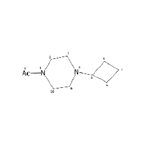 [CH2]C(=O)N1CCN(C2CCC2)CC1